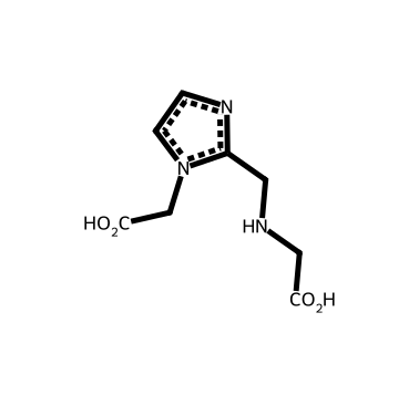 O=C(O)CNCc1nccn1CC(=O)O